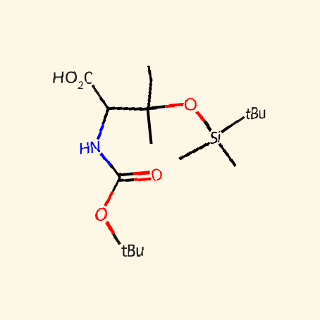 CC(C)(C)OC(=O)NC(C(=O)O)C(C)(C)O[Si](C)(C)C(C)(C)C